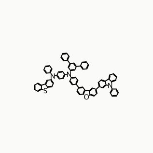 c1ccc(-c2cc(-c3ccccc3)cc(N(c3ccc(-c4ccc5oc6ccc(-c7ccc8c9ccccc9n(-c9ccccc9)c8c7)cc6c5c4)cc3)c3ccc(N(c4ccccc4)c4ccc5sc6ccccc6c5c4)cc3)c2)cc1